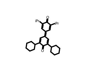 CC(C)C1=CC(=C2C=C(C3CCCCC3)C(=O)C(C3CCCCC3)=C2)C=C(C(C)C)C1=O